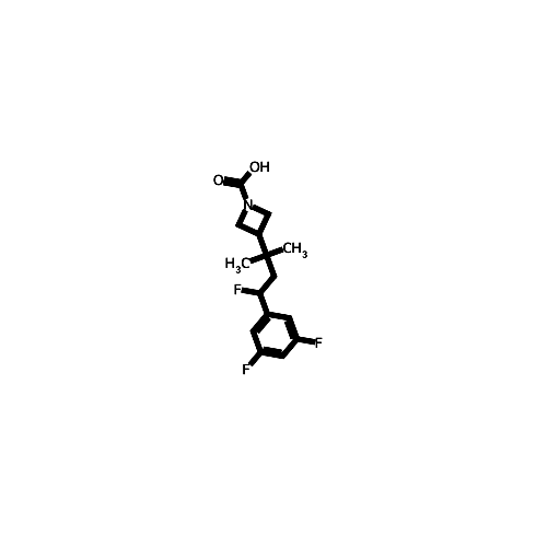 CC(C)(CC(F)c1cc(F)cc(F)c1)C1CN(C(=O)O)C1